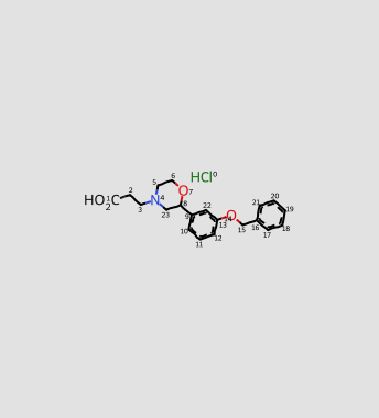 Cl.O=C(O)CCN1CCOC(c2cccc(OCc3ccccc3)c2)C1